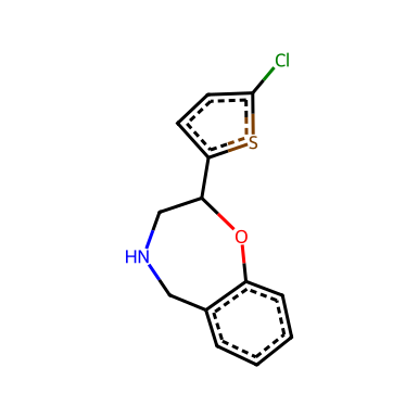 Clc1ccc(C2CNCc3ccccc3O2)s1